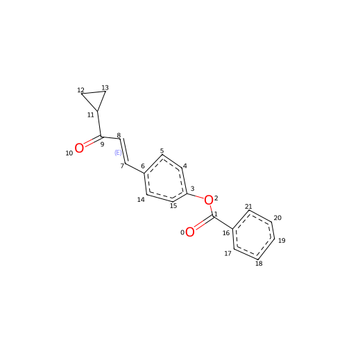 O=C(Oc1ccc(/C=C/C(=O)C2CC2)cc1)c1ccccc1